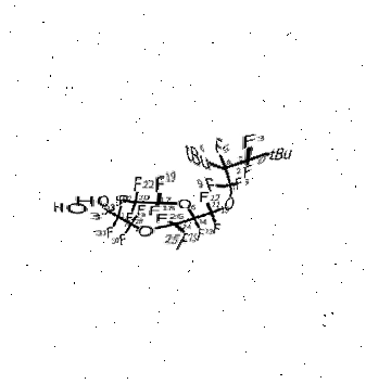 CC(C)(C)C(F)(F)C(F)(C(C)(C)C)C(F)(F)OC(F)(F)C(F)(OC(F)(F)C(F)(F)S(=O)(=O)O)C(F)(F)OC(F)(F)C(F)(F)S(=O)(=O)O